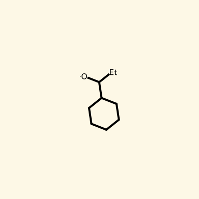 CCC([O])C1CCCCC1